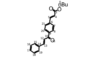 CCCCOC(=O)/C=C/c1ccc(C(=O)/C=C/c2ccccc2)cc1